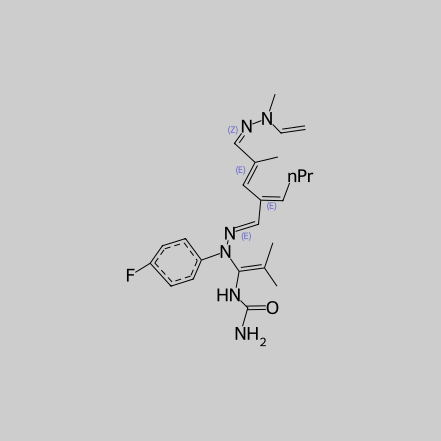 C=CN(C)\N=C/C(C)=C/C(/C=N/N(C(NC(N)=O)=C(C)C)c1ccc(F)cc1)=C\CCC